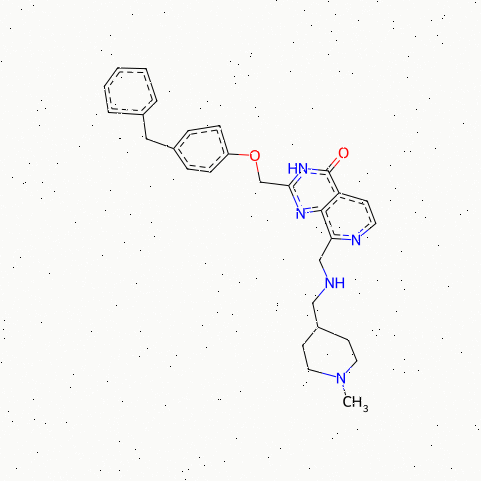 CN1CCC(CNCc2nccc3c(=O)[nH]c(COc4ccc(Cc5ccccc5)cc4)nc23)CC1